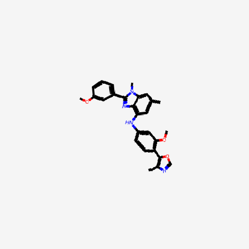 COc1cccc(-c2nc3c(Nc4ccc(-c5ocnc5C)c(OC)c4)cc(C)cc3n2C)c1